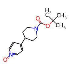 CC(C)(C)OC(=O)N1CCC(c2cc[n+]([O-])cc2)CC1